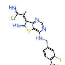 COc1ccc(CNc2ncnc3c2SC(=N)/C3=C(/C)C(=N)Cl)cc1F